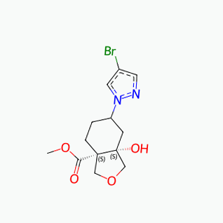 COC(=O)[C@]12CCC(n3cc(Br)cn3)C[C@@]1(O)COC2